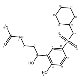 O=C(O)NCCC(O)c1cc(S(=O)(=O)CC2CCCCC2)ccc1O